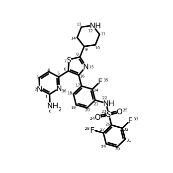 Nc1nccc(-c2sc(C3CCNCC3)nc2-c2cccc(NS(=O)(=O)c3c(F)cccc3F)c2F)n1